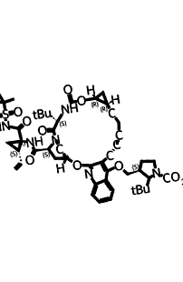 C=C[C@@H]1C[C@]1(NC(=O)[C@@H]1C[C@@H]2CN1C(=O)[C@H](C(C)(C)C)NC(=O)O[C@@H]1C[C@H]1CCCCCc1c(nc3ccccc3c1OC[C@H]1CCN(C(=O)O)C1C(C)(C)C)O2)C(=O)NS(=O)(=O)C1(C)CC1